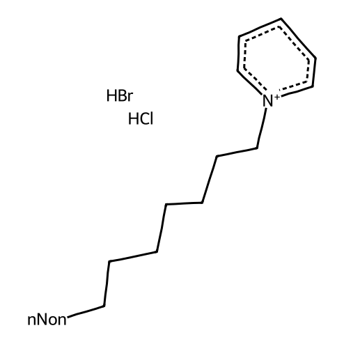 Br.CCCCCCCCCCCCCCCC[n+]1ccccc1.Cl